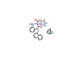 CNC(C)C(=O)NC1(C(C)=O)CNc2ccccc2N(Cc2cccc3ccccc23)C1=O.Cl.c1cc2cc-2c1